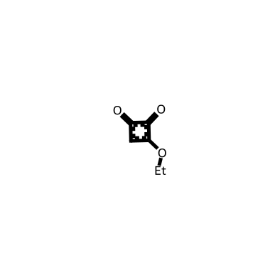 CCOc1cc(=O)c1=O